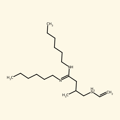 C=C[SiH2]CC(C)CC(=NCCCCCC)NCCCCCC